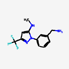 CNc1cc(C(F)(F)F)nn1-c1cccc(CN)c1